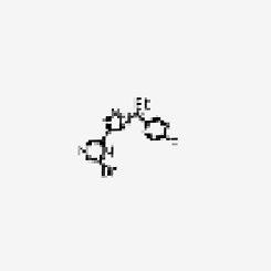 CC[C@H](c1ccc(F)cc1)n1cc(-c2cncc(Br)n2)cn1